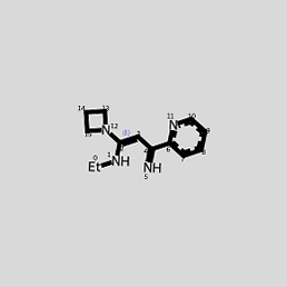 CCN/C(=C\C(=N)c1ccccn1)N1CCC1